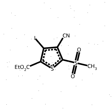 CCOC(=O)c1sc(S(C)(=O)=O)c(C#N)c1I